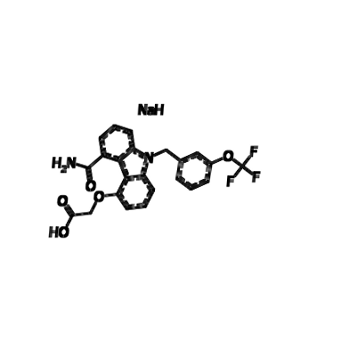 NC(=O)c1cccc2c1c1c(OCC(=O)O)cccc1n2Cc1cccc(OC(F)(F)F)c1.[NaH]